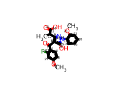 COc1ccc(C(=O)c2c(C(C)C(=O)O)nn(-c3ccccc3OC)c2O)c(F)c1